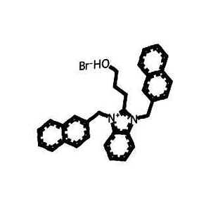 OCCCc1n(Cc2ccc3ccccc3c2)c2ccccc2[n+]1Cc1ccc2ccccc2c1.[Br-]